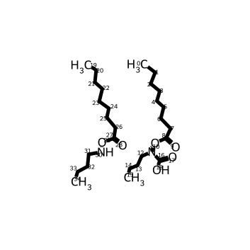 CCCCCCCCC(=O)ON(CCCC)C(=O)O.CCCCCCCCC(=O)ONCCCC